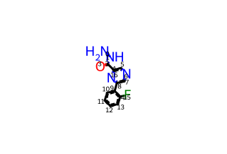 NNC(=O)c1cncc(-c2ccccc2F)n1